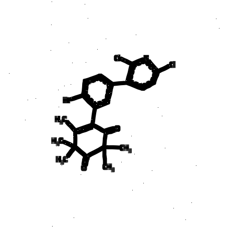 CCc1ccc(-c2ccc(Cl)nc2Cl)cc1C1=C(C)C(C)(C)C(=O)C(C)(C)C1=O